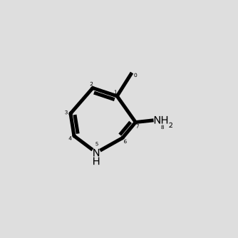 CC1=CC=CNC=C1N